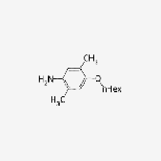 CCCCCCOc1cc(C)c(N)cc1C